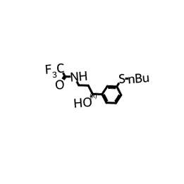 CCCCSc1cccc([C@H](O)CCNC(=O)C(F)(F)F)c1